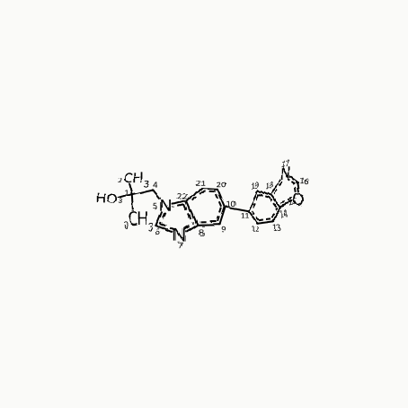 CC(C)(O)Cn1cnc2cc(-c3ccc4ocnc4c3)ccc21